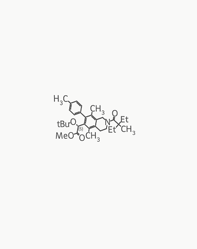 CCC(C)(CC)C(=O)N1CCc2c(C)c([C@H](OC(C)(C)C)C(=O)OC)c(-c3ccc(C)cc3)c(C)c2C1